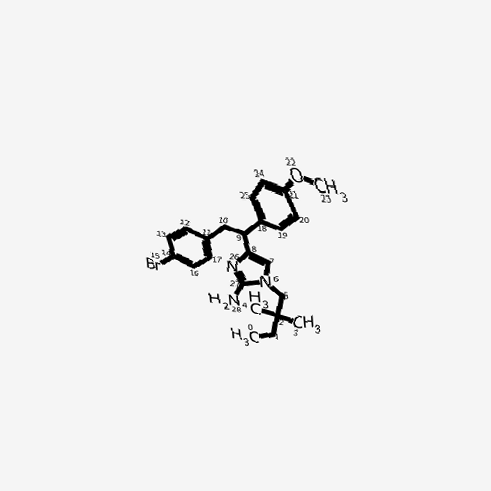 CCC(C)(C)Cn1cc(C(Cc2ccc(Br)cc2)c2ccc(OC)cc2)nc1N